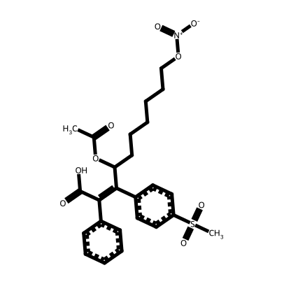 CC(=O)OC(CCCCCCO[N+](=O)[O-])/C(=C(\C(=O)O)c1ccccc1)c1ccc(S(C)(=O)=O)cc1